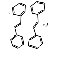 C(=Cc1ccccc1)c1ccccc1.C(=Cc1ccccc1)c1ccccc1.S